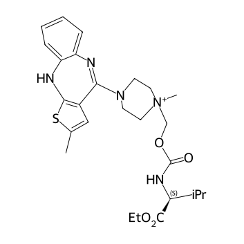 CCOC(=O)[C@@H](NC(=O)OC[N+]1(C)CCN(C2=Nc3ccccc3Nc3sc(C)cc32)CC1)C(C)C